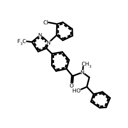 CN(CC(O)c1ccccc1)C(=O)c1ccc(-c2cc(C(F)(F)F)nn2-c2ccccc2Cl)cc1